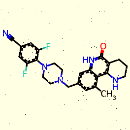 Cc1cc(CN2CCN(c3c(F)cc(C#N)cc3F)CC2)cc2[nH]c(=O)c3c(c12)NCCC3